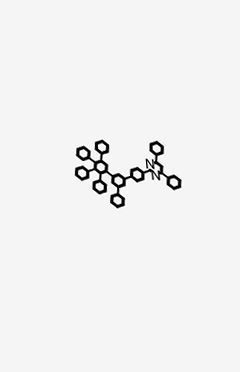 c1ccc(-c2cc(-c3ccc(-c4nc(-c5ccccc5)cc(-c5ccccc5)n4)cc3)cc(-c3cc(-c4ccccc4)c(-c4ccccc4)c(-c4ccccc4)c3-c3ccccc3)c2)cc1